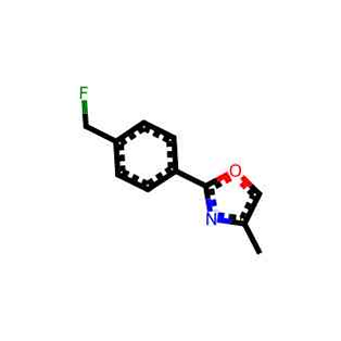 Cc1coc(-c2ccc(CF)cc2)n1